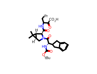 CC(C)CC(NC(=O)[C@@H]1[C@H]2[C@@H](CN1C(=O)[C@@H](NC(=O)OC(C)(C)C)C1Cc3ccccc3C1)C2(C)C)C(=O)C(=O)O